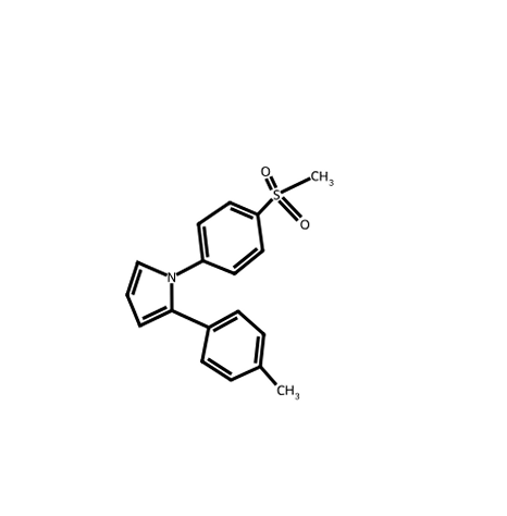 Cc1ccc(-c2cccn2-c2ccc(S(C)(=O)=O)cc2)cc1